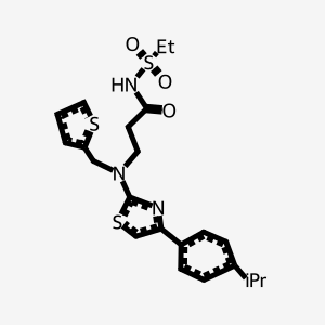 CCS(=O)(=O)NC(=O)CCN(Cc1cccs1)c1nc(-c2ccc(C(C)C)cc2)cs1